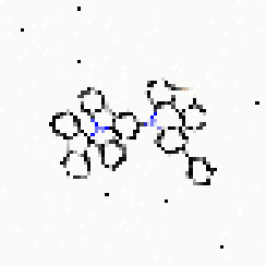 c1ccc(-c2ccc(N(c3ccc4c(c3)c3ccccc3n4C3(c4ccccc4)c4ccccc4-c4ccccc43)c3cccc4sc5ccccc5c34)cc2)cc1